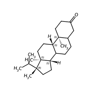 CC(C)[C@@]1(C)CC[C@H]2C3CCC4CC(=O)CC[C@]4(C)[C@H]3CC[C@@]21C